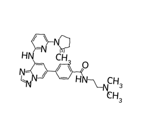 C[C@H]1CCCN1c1cccc(Nc2cc(-c3ccc(C(=O)NCCN(C)C)cc3)cn3ncnc23)n1